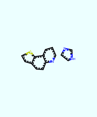 c1c[nH]cn1.c1cnc2ccc3ccsc3c2c1